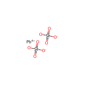 O=[Se](=O)([O-])[O-].O=[Se](=O)([O-])[O-].[Pb+4]